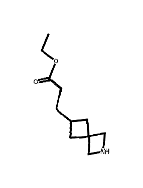 CCOC(=O)CCC1CC2(CNC2)C1